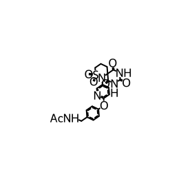 CC(=O)NCc1ccc(Oc2ccc(N3C4(CCCS3(=O)=O)C(=O)NC(=O)NC4=O)cn2)cc1